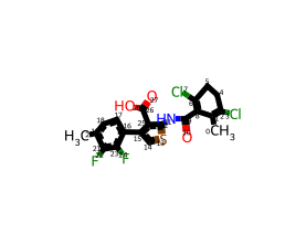 CC1=C(Cl)CCC(Cl)=C1C(=O)Nc1scc(-c2ccc(C)c(F)c2F)c1C(=O)O